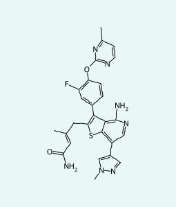 CC(=CC(N)=O)Cc1sc2c(-c3cnn(C)c3)cnc(N)c2c1-c1ccc(Oc2nccc(C)n2)c(F)c1